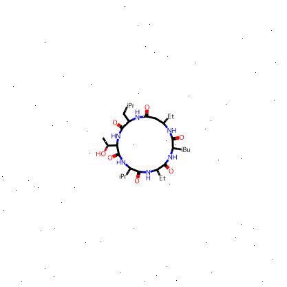 CCC1CC(=O)NC(CC(C)C)C(=O)NC(C(C)O)C(=O)NC(C(C)C)C(=O)NC(CC)C(=O)NC(C(C)CC)C(=O)N1